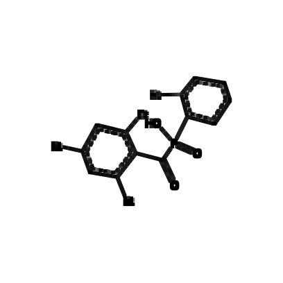 CCc1cc(CC)c(C(=O)P(=O)(O)c2ccccc2CC)c(CC)c1